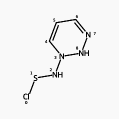 ClSNN1C=CC=NN1